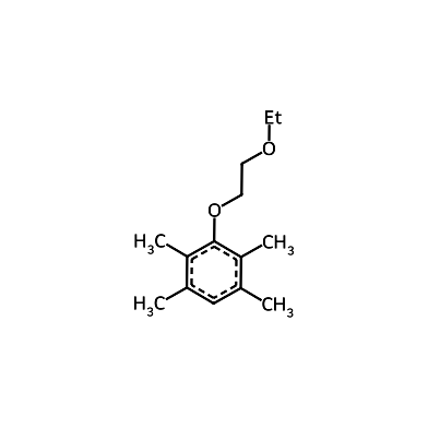 CCOCCOc1c(C)c(C)cc(C)c1C